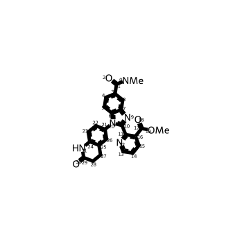 CNC(=O)c1ccc2c(c1)nc(-c1ncccc1C(=O)OC)n2-c1ccc2c(c1)CCC(=O)N2